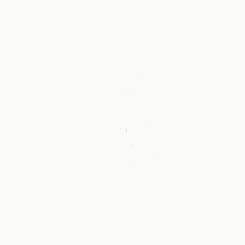 FC(F)(F)Oc1cccc(P(C2CCCCC2)C2CCCCC2)c1